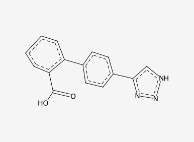 O=C(O)c1ccccc1-c1ccc(-c2c[nH]nn2)cc1